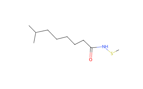 CSNC(=O)CCCCCC(C)C